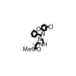 COC(=O)[C@H](C)[C@@H]1CN(C2=Nc3cc(Cl)ccc3Oc3ccccc32)CCN1